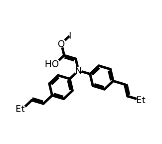 CC/C=C/c1ccc(N(/C=C(\O)OI)c2ccc(/C=C/CC)cc2)cc1